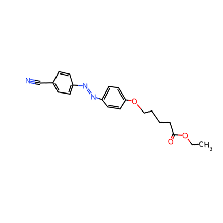 CCOC(=O)CCCCOc1ccc(N=Nc2ccc(C#N)cc2)cc1